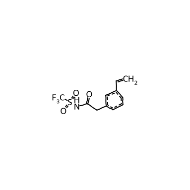 C=Cc1cccc(CC(=O)NS(=O)(=O)C(F)(F)F)c1